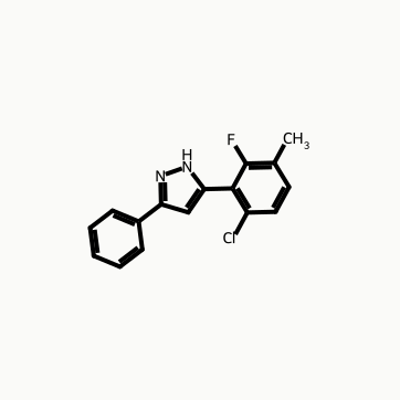 Cc1ccc(Cl)c(-c2cc(-c3ccccc3)n[nH]2)c1F